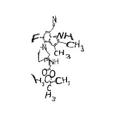 Cc1[nH]c2c(C#N)cc(F)c(N3CCC[C@H](NC(=O)OC(C)(C)C)C3)c2c1C